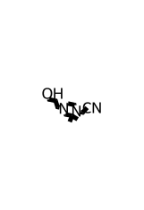 CC1(C)CN(CCCO)CCN1CC#N